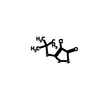 CC(C)(C)Sc1ssc(=O)c1Cl